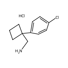 Cl.NCC1(c2ccc(Cl)cc2)CCC1